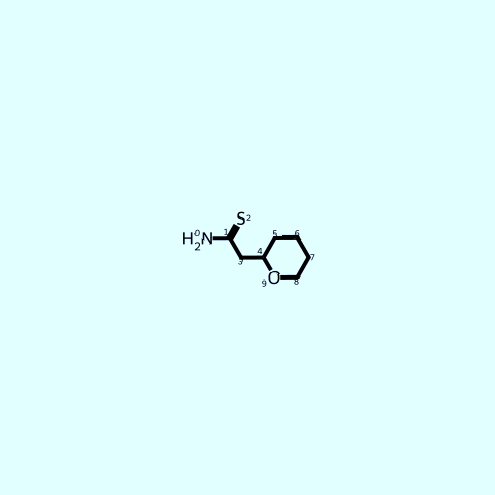 NC(=S)CC1CCCCO1